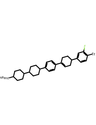 CCCCCC1CCC(C2CCC(c3ccc(C4=CCC(c5ccc(CC)c(F)c5)CC4)cc3)CC2)CC1